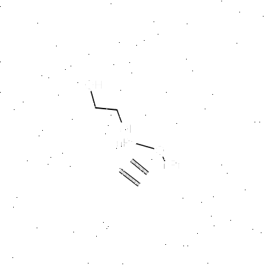 C=C.C=C.CCCOCCC.OCCO